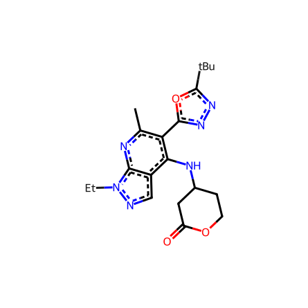 CCn1ncc2c(NC3CCOC(=O)C3)c(-c3nnc(C(C)(C)C)o3)c(C)nc21